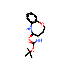 CC(C)(C)OC(=O)N[C@H]1CCOc2ccccc2NC1=O